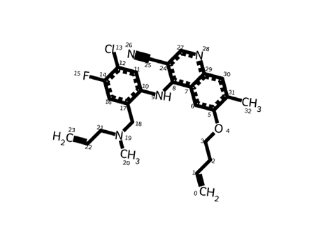 C=CCCOc1cc2c(Nc3cc(Cl)c(F)cc3CN(C)CC=C)c(C#N)cnc2cc1C